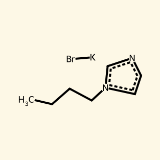 CCCCn1ccnc1.[K][Br]